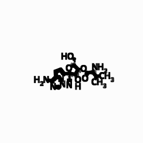 CC(C)[C@H](N)C(=O)O[C@H]1[C@@H](O)[C@](C#N)(c2ccc3c(N)ncnn23)O[C@@H]1CO